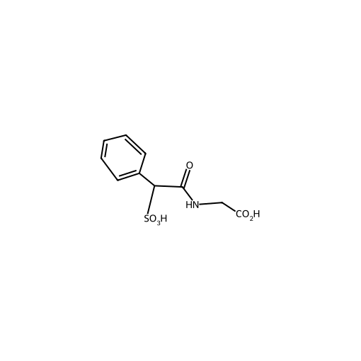 O=C(O)CNC(=O)C(c1ccccc1)S(=O)(=O)O